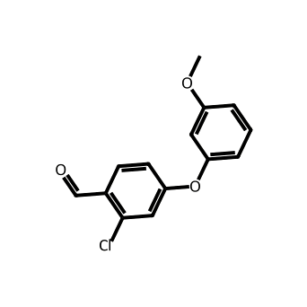 COc1cccc(Oc2ccc(C=O)c(Cl)c2)c1